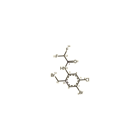 O=C(Nc1cc(Cl)c(Br)cc1CBr)C(F)F